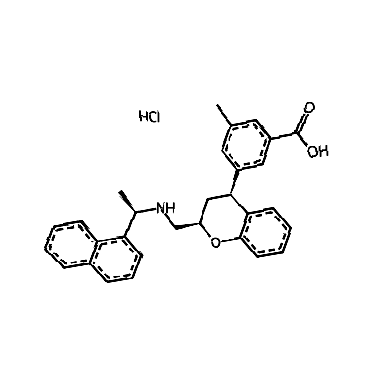 Cc1cc(C(=O)O)cc([C@@H]2C[C@H](CN[C@H](C)c3cccc4ccccc34)Oc3ccccc32)c1.Cl